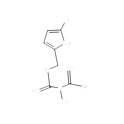 Cc1ccc(CNC(=N)N(C)C(=N)N)[nH]1